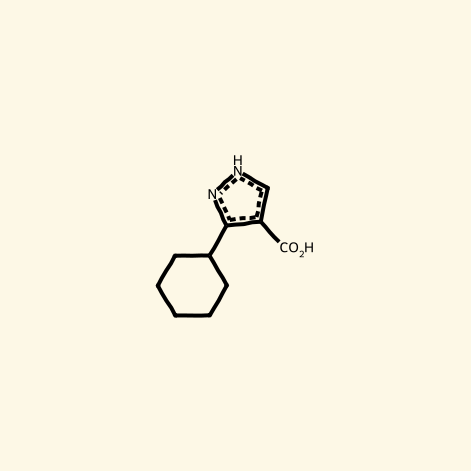 O=C(O)c1c[nH]nc1C1CCCCC1